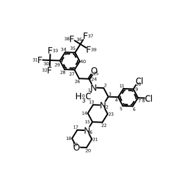 CN(CC(c1ccc(Cl)c(Cl)c1)N1CCC(N2CCOCC2)CC1)C(=O)Cc1cc(C(F)(F)F)cc(C(F)(F)F)c1